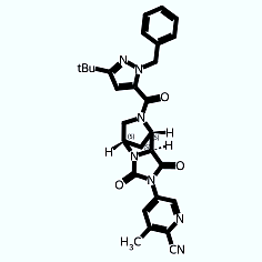 Cc1cc(N2C(=O)[C@@H]3[C@@H]4C[C@@H](CN4C(=O)c4cc(C(C)(C)C)nn4Cc4ccccc4)N3C2=O)cnc1C#N